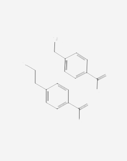 NCCc1ccc(C(=O)O)cc1.NCc1ccc(C(=O)O)cc1